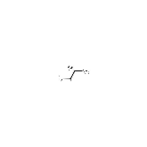 NCCS.[Au]